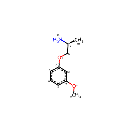 COc1cccc(OC[C@H](C)N)c1